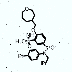 CCc1ccc(N(CC(C)C)[S+]([O-])c2ccc(OCC3CCCOCC3)c(S(C)(=N)=O)c2)cc1